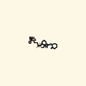 C=C1CCCC/C1=C/C=C1\CCC[C@]2(C)[C@@H]([C@H](C)CCCC(N)=O)CC[C@@H]12